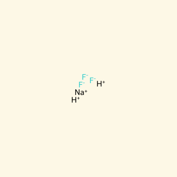 [F-].[F-].[F-].[H+].[H+].[Na+]